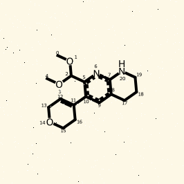 COC(OC)c1nc2c(cc1C1=CCOCC1)CCCN2